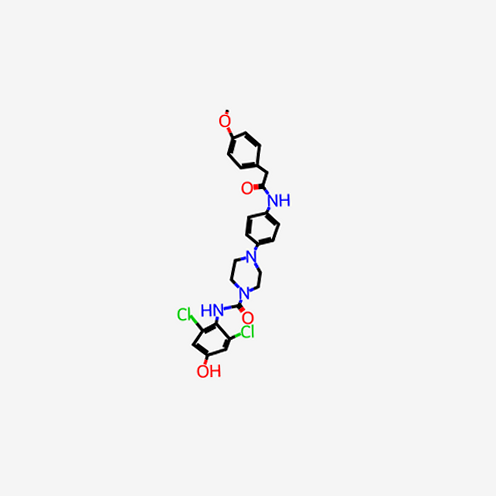 COc1ccc(CC(=O)Nc2ccc(N3CCN(C(=O)Nc4c(Cl)cc(O)cc4Cl)CC3)cc2)cc1